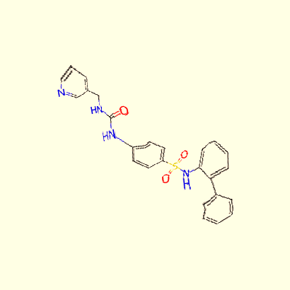 O=C(NCc1cccnc1)Nc1ccc(S(=O)(=O)Nc2ccccc2-c2ccccc2)cc1